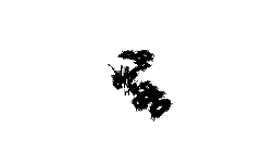 C1=C(c2ccc(-c3c4ccccc4c(-c4ccccc4)c4ccc5ccccc5c34)cc2)NC(c2ccccc2)NC1c1ccc2c3ccccc3c3ccccc3c2c1